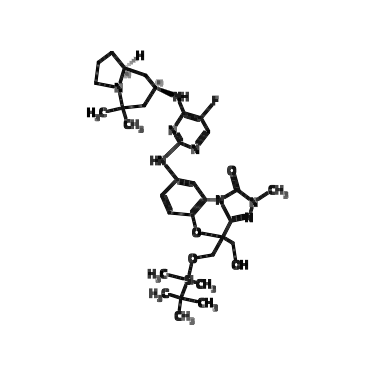 Cn1nc2n(c1=O)-c1cc(Nc3ncc(F)c(N[C@@H]4C[C@@H]5CCCN5C(C)(C)C4)n3)ccc1OC2(CO)CO[Si](C)(C)C(C)(C)C